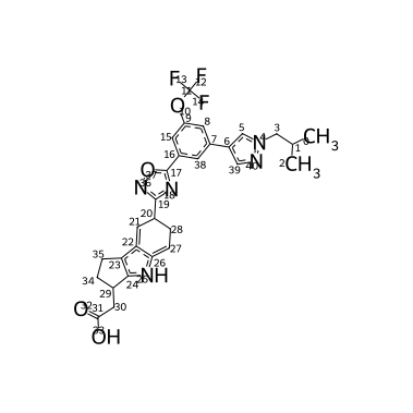 CC(C)Cn1cc(-c2cc(OC(F)(F)F)cc(-c3nc(C4C=c5c6c([nH]c5=CC4)C(CC(=O)O)CC6)no3)c2)cn1